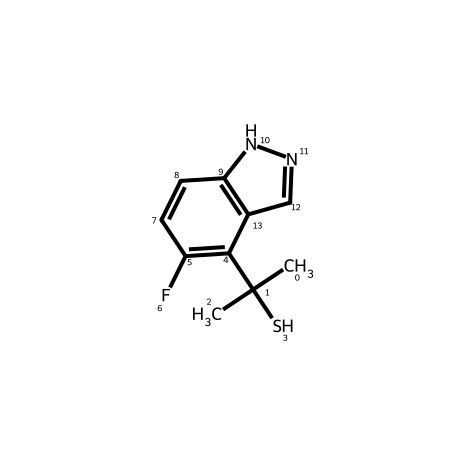 CC(C)(S)c1c(F)ccc2[nH]ncc12